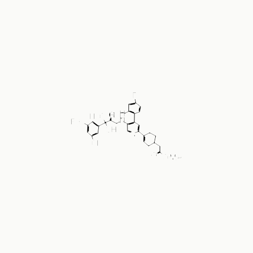 COC(=O)CC1CC=C(c2cc(-c3ccc(F)cc3C)c(NCC(=O)C(C)(C)c3cc(C(F)(F)F)cc(C(F)(F)F)c3)cn2)CC1